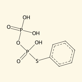 O=P(O)(O)OP(=O)(O)Sc1ccccc1